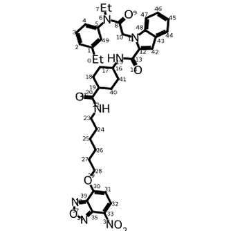 CCc1cccc(N(CC)C(=O)Cn2c(C(=O)NC3CCC(C(=O)NCCCCCCOc4ccc([N+](=O)[O-])c5nonc45)CC3)cc3ccccc32)c1